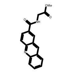 COC(=O)CNC(=O)c1ccc2nc3ccccc3cc2c1